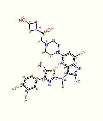 CCn1nc2c(F)cc(N3CCN(CC(=O)N4CC(O)C4)CC3)cc2c1N(C)c1nc(-c2ccc(F)c(F)c2)c(C#N)s1